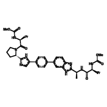 COC(=O)N[C@H](C(=O)N[C@@H](C)c1nc2ccc(-c3ccc(-c4cnc([C@@H]5CCCN5C(=O)[C@@H](NC(=O)OC)C(C)C)[nH]4)cc3)cc2[nH]1)C(C)C